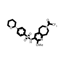 COc1nc2c(cc1NS(=O)(=O)c1ccc([C@H]3CCCCO3)cc1)CCN(C(=O)C(F)(F)F)CC2